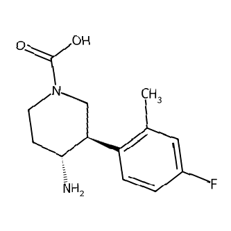 Cc1cc(F)ccc1[C@@H]1CN(C(=O)O)CC[C@H]1N